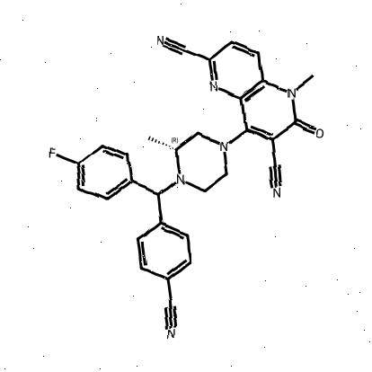 C[C@@H]1CN(c2c(C#N)c(=O)n(C)c3ccc(C#N)nc23)CCN1C(c1ccc(F)cc1)c1ccc(C#N)cc1